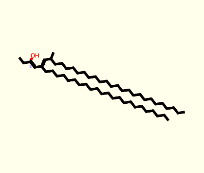 CCCCCCCCCCCCCCCCCCCCCCCCC(C)C=C(/C=C(\O)CC)CCCCCCCCCCCCCCCCCCCCCCC